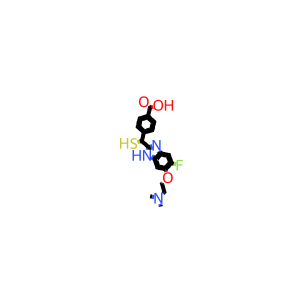 CN(C)CCOc1cc2[nH]c(C(S)c3ccc(C(=O)O)cc3)nc2cc1F